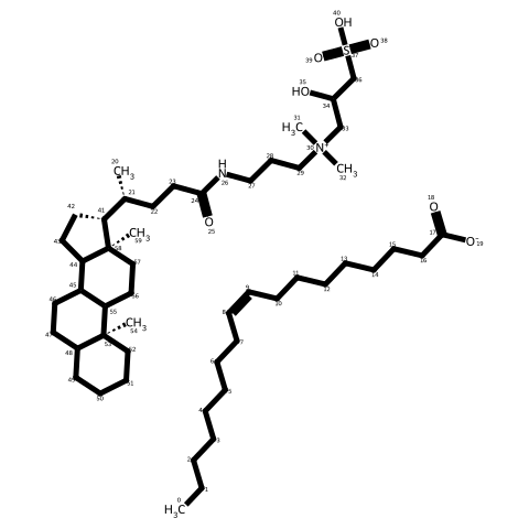 CCCCCCCC/C=C\CCCCCCCC(=O)[O-].C[C@H](CCC(=O)NCCC[N+](C)(C)CC(O)CS(=O)(=O)O)[C@H]1CCC2C3CCC4CCCC[C@]4(C)C3CC[C@@]21C